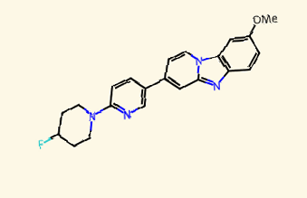 COc1ccc2nc3cc(-c4ccc(N5CCC(F)CC5)nc4)ccn3c2c1